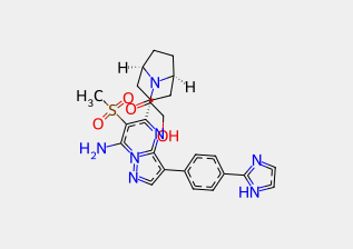 CS(=O)(=O)c1c([C@@H]2C[C@H]3CC[C@@H](C2)N3C(=O)CO)nc2c(-c3ccc(-c4ncc[nH]4)cc3)cnn2c1N